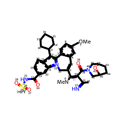 CN/C(C1=Cc2cc(OC)ccc2-c2c(C3CCCCC3)c3ccc(C(=O)NS(=O)(=O)C(C)C)cc3n2C1)=C(\C(C)=N)C(=O)N1CC2CCC(C1)O2